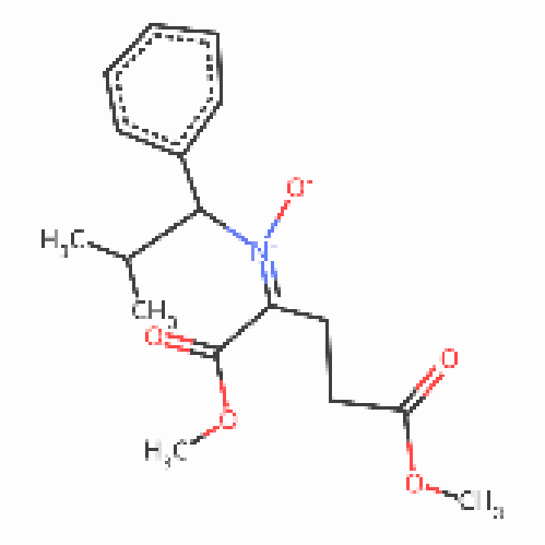 COC(=O)CC/C(C(=O)OC)=[N+](\[O-])C(c1ccccc1)C(C)C